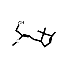 CC/C(=C\CC1CC=C(C)C1(C)C)CO